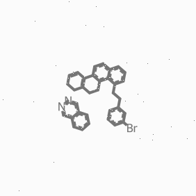 Brc1cccc(CCc2cccc3ccc4c(c23)CCC2=C4C=CCC2)c1.c1ccc2cnncc2c1